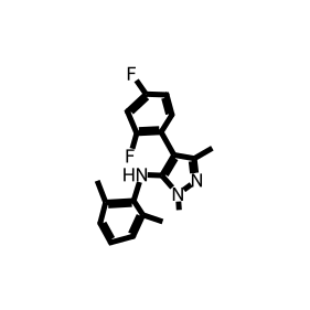 Cc1cccc(C)c1Nc1c(-c2ccc(F)cc2F)c(C)nn1C